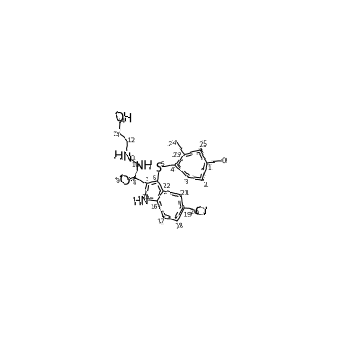 Cc1ccc(Sc2c(C(=O)NNCCO)[nH]c3ccc(Cl)cc23)c(C)c1